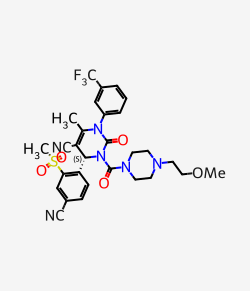 COCCN1CCN(C(=O)N2C(=O)N(c3cccc(C(F)(F)F)c3)C(C)=C(C#N)[C@H]2c2ccc(C#N)cc2S(C)(=O)=O)CC1